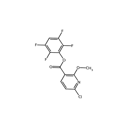 COc1nc(Cl)ccc1C(=O)Oc1c(F)c(F)cc(F)c1F